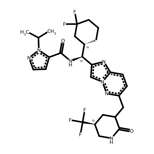 CC(C)n1nccc1C(=O)N[C@H](c1cn2nc(CC3C[C@H](C(F)(F)F)CNC3=O)ccc2n1)[C@H]1CCCC(F)(F)C1